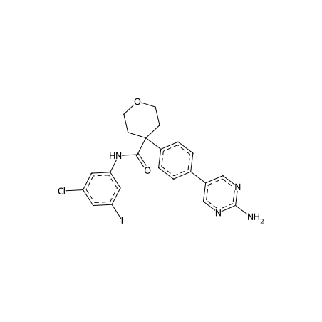 Nc1ncc(-c2ccc(C3(C(=O)Nc4cc(Cl)cc(I)c4)CCOCC3)cc2)cn1